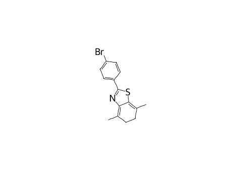 CC1=c2nc(-c3ccc(Br)cc3)sc2=C(C)CC1